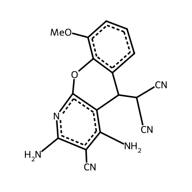 COc1cccc2c1Oc1nc(N)c(C#N)c(N)c1C2C(C#N)C#N